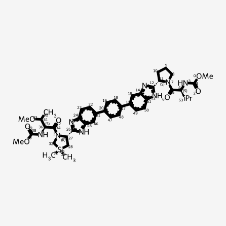 COC(=O)N[C@H](C(=O)N1CCC[C@H]1c1nc2cc(-c3ccc(-c4ccc5nc([C@@H]6C[Si](C)(C)CN6C(=O)[C@@H](NC(=O)OC)C(C)OC)[nH]c5c4)cc3)ccc2[nH]1)C(C)C